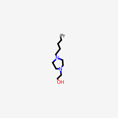 CC(C)CCCCN1CCN(CCO)CC1